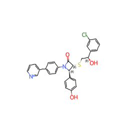 O=C1[C@H](SC[C@H](O)c2cccc(Cl)c2)[C@@H](c2ccc(O)cc2)N1c1ccc(-c2cccnc2)cc1